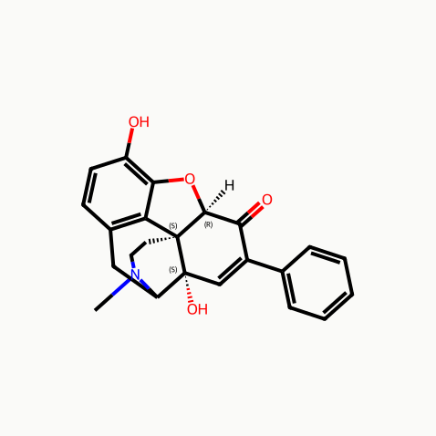 CN1CC[C@]23c4c5ccc(O)c4O[C@H]2C(=O)C(c2ccccc2)=C[C@@]3(O)C1C5